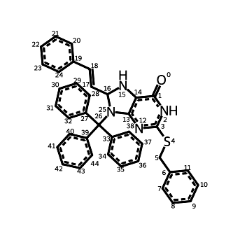 O=c1[nH]c(SCc2ccccc2)nc2c1NC(C=Cc1ccccc1)N2C(c1ccccc1)(c1ccccc1)c1ccccc1